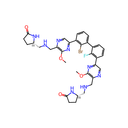 COc1nc(-c2cccc(-c3cccc(-c4cnc(CNC[C@@H]5CCC(=O)N5)c(OC)n4)c3Br)c2F)cnc1CNC[C@@H]1CCC(=O)N1